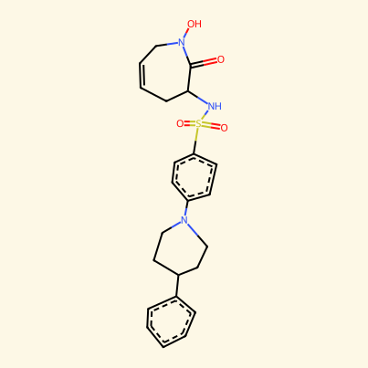 O=C1C(NS(=O)(=O)c2ccc(N3CCC(c4ccccc4)CC3)cc2)CC=CCN1O